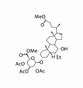 CC[C@H]1[C@@H](O)C2C3CC[C@H]([C@H](C)CCC(=O)OC)[C@@]3(C)CCC2[C@@]2(C)CC[C@@H](O[C@@H]3O[C@H](C(=O)OC)[C@@H](OC(C)=O)[C@H](OC(C)=O)[C@H]3OC(C)=O)C[C@@H]12